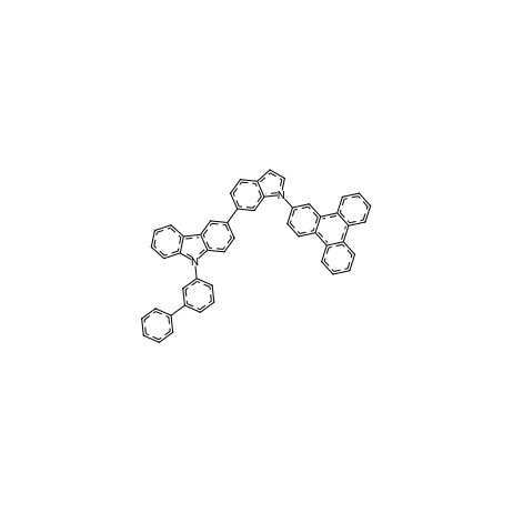 c1ccc(-c2cccc(-n3c4ccccc4c4cc(-c5ccc6ccn(-c7ccc8c9ccccc9c9ccccc9c8c7)c6c5)ccc43)c2)cc1